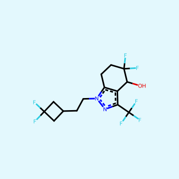 OC1c2c(C(F)(F)F)nn(CCC3CC(F)(F)C3)c2CCC1(F)F